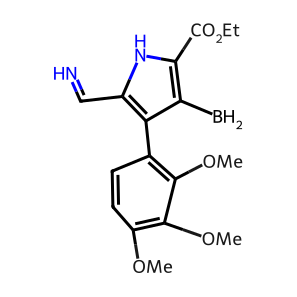 Bc1c(C(=O)OCC)[nH]c(C=N)c1-c1ccc(OC)c(OC)c1OC